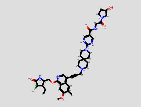 CCC1C(COc2ncc(C#CCN3CCC4(CC3)CCN(c3ncc(C(=O)NCC(=O)N5CCC(O)C5)cn3)CC4)c3cc(C)c(OC)cc23)NC(=O)C1F